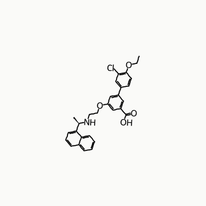 CCOc1ccc(-c2cc(OCCN[C@H](C)c3cccc4ccccc34)cc(C(=O)O)c2)cc1Cl